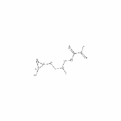 C=C(C)C(=O)OCC(C)CCC1OC1C